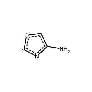 Nc1co[c]n1